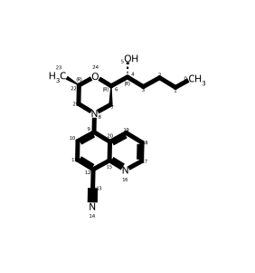 CCCC[C@@H](O)[C@H]1CN(c2ccc(C#N)c3ncccc23)C[C@@H](C)O1